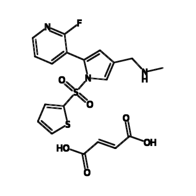 CNCc1cc(-c2cccnc2F)n(S(=O)(=O)c2cccs2)c1.O=C(O)/C=C/C(=O)O